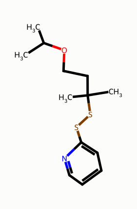 CC(C)OCCC(C)(C)SSc1ccccn1